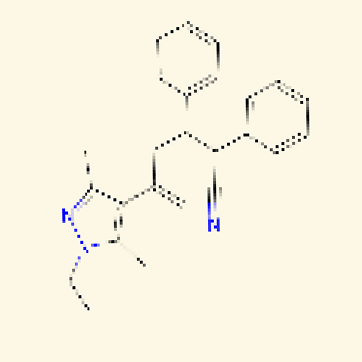 C=C(CC(c1ccccc1)C(C#N)c1ccccc1)c1c(C)nn(CC)c1C